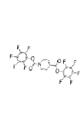 O=C(Oc1c(F)c(F)c(F)c(F)c1F)C1=CCN(C(=O)Oc2c(F)c(F)c(F)c(F)c2F)C=C1